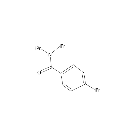 CC(C)c1ccc(C(=O)N(C(C)C)C(C)C)cc1